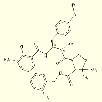 Cc1ccccc1CNC(=O)C1N(C(=O)[C@@H](O)[C@H](Cc2ccc(OC(C)C)cc2)NC(=O)c2cccc(N)c2Cl)CSC1(C)C